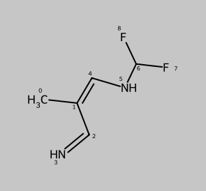 C/C(C=N)=C/NC(F)F